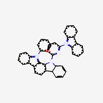 C1=CC2c3ccc4c5ccccc5n(-c5ccccc5)c4c3N(c3cccc(-n4c5ccccc5c5ccccc54)n3)C2C=C1